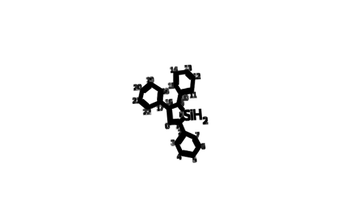 C1=C(c2ccccc2)[SiH2]C(c2ccccc2)C=1c1ccccc1